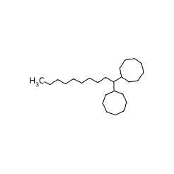 CCCCCCCCCC(C1CCCCCCC1)C1CCCCCCC1